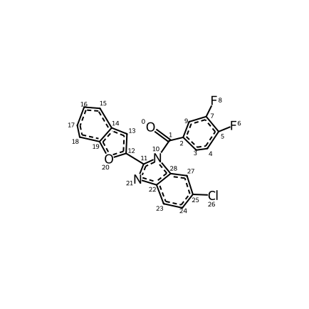 O=C(c1ccc(F)c(F)c1)n1c(-c2cc3ccccc3o2)nc2ccc(Cl)cc21